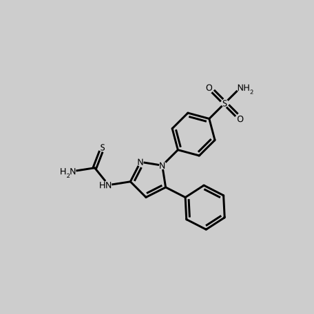 NC(=S)Nc1cc(-c2ccccc2)n(-c2ccc(S(N)(=O)=O)cc2)n1